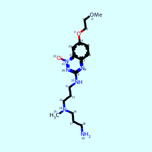 COCCOc1ccc2nc(NCCCN(C)CCCN)n[n+]([O-])c2c1